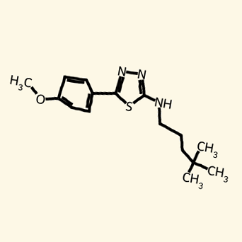 COc1ccc(-c2nnc(NCCCC(C)(C)C)s2)cc1